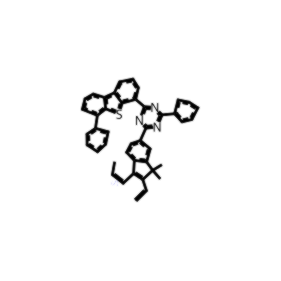 C=CC1=C(/C=C\C)c2ccc(-c3nc(-c4ccccc4)nc(-c4cccc5c4sc4c(-c6ccccc6)cccc45)n3)cc2C1(C)C